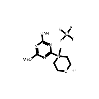 COc1nc(OC)nc([N+]2(C)CCOCC2)n1.F[B-](F)(F)F.[H+]